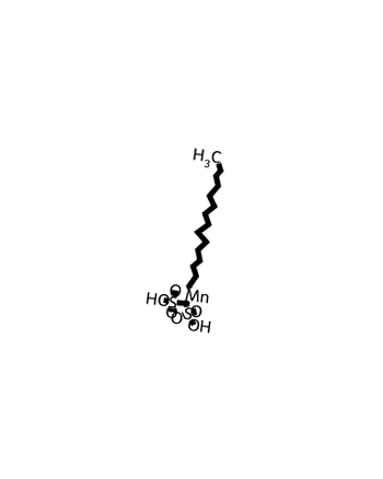 CCCCCCCCCCCCCC[CH2][Mn][CH](S(=O)(=O)O)S(=O)(=O)O